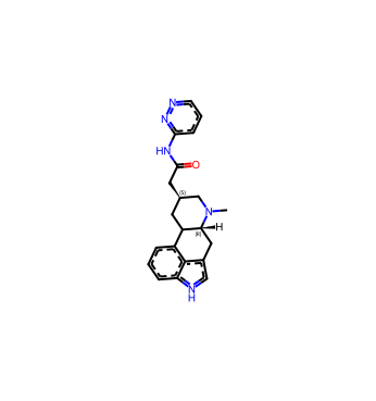 CN1C[C@H](CC(=O)Nc2cccnn2)CC2c3cccc4[nH]cc(c34)C[C@H]21